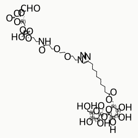 O=COC[C@H](COP(=O)(O)OCCNC(=O)CCOCCOCCn1cc(CCCCCCCCC(=O)OC[C@H]2O[C@H](O[C@]3(CO)O[C@H](CO)[C@@H](O)[C@@H]3O)[C@H](O)[C@@H](O)[C@@H]2O)nn1)OC(=O)Cl